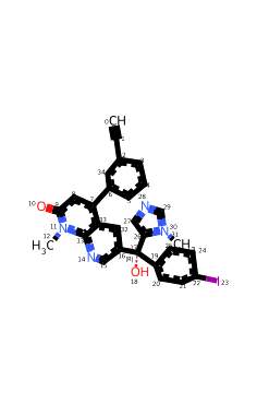 C#Cc1cccc(-c2cc(=O)n(C)c3ncc([C@](O)(c4ccc(I)cc4)c4cncn4C)cc23)c1